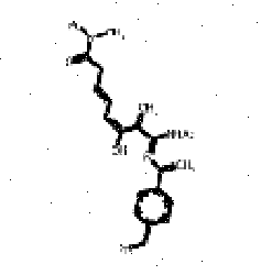 C=C(/C(=N/C(=C)c1ccc(CC(C)C)cc1)NC(C)=O)/C(O)=C\C=C\CC(=O)N(C)C(C)C